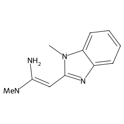 CN/C(N)=C/c1nc2ccccc2n1C